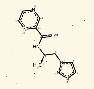 C[C@H](Cn1ccnn1)NC(=O)c1cnccn1